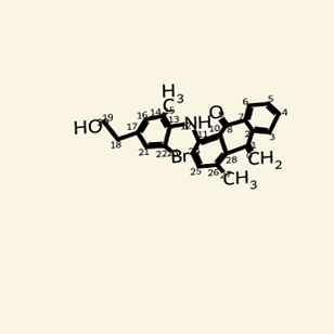 C=C1c2ccccc2C(=O)c2c(Nc3c(C)cc(CCO)cc3Br)ccc(C)c21